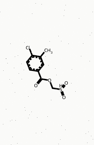 Cc1cc(C(=O)OC[SH](=O)=O)ccc1Cl